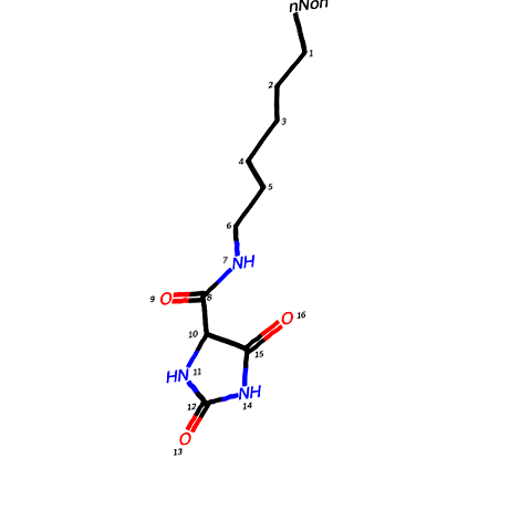 CCCCCCCCCCCCCCCNC(=O)C1NC(=O)NC1=O